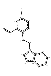 O=Cc1cc(Cl)ccc1OCn1nnc2ccccc21